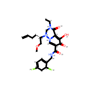 C=CCC[C@@H](COC)N1CN(CC)C(=O)c2c(O)c(=O)c(C(=O)NCC3=CC=C(F)CC3F)cn21